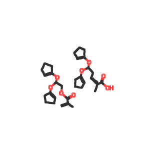 C=C(C)C(=O)OCC(OC1=CCCC1)OC1=CCCC1.CC(=CCC(OC1=CCCC1)OC1=CCCC1)C(=O)O